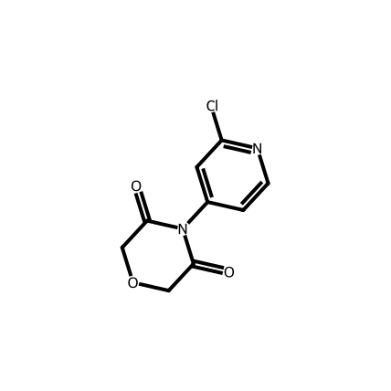 O=C1COCC(=O)N1c1ccnc(Cl)c1